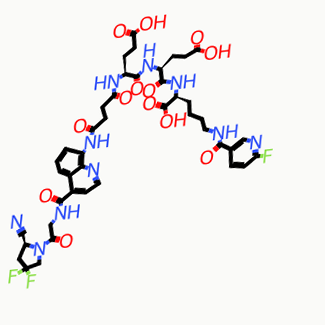 N#C[C@@H]1CC(F)(F)CN1C(=O)CNC(=O)c1ccnc2c(NC(=O)CCC(=O)N[C@@H](CCC(=O)O)C(=O)N[C@@H](CCC(=O)O)C(=O)N[C@@H](CCCCNC(=O)c3ccc(F)nc3)C(=O)O)cccc12